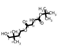 CC(C)(CO)CCOC(=O)CNC(=O)OC(C)(C)C